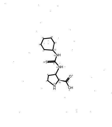 O=C(O)[C@H]1NCCC1NC(=S)NC1CCCCC1